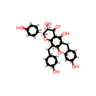 O=C1c2c(O)c(Cc3ccc(O)cc3)c(O)c(Cc3ccc(O)cc3)c2O[C@H](c2ccc(O)cc2)[C@H]1O